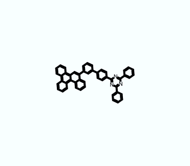 c1ccc(-c2nc(-c3ccccc3)nc(-c3ccc(-c4cccc(-c5cc6c7ccccc7c7ccccc7c6c6ccccc56)c4)cc3)n2)cc1